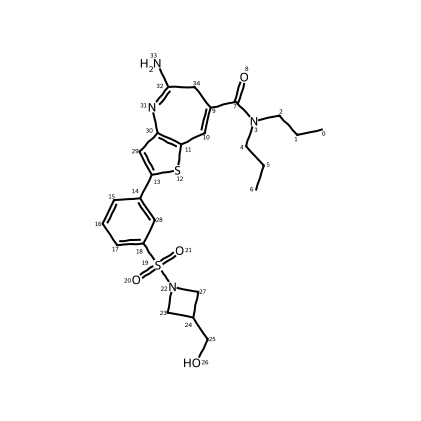 CCCN(CCC)C(=O)C1=Cc2sc(-c3cccc(S(=O)(=O)N4CC(CO)C4)c3)cc2N=C(N)C1